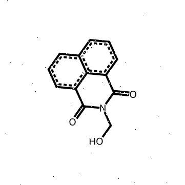 O=C1c2cccc3cccc(c23)C(=O)N1CO